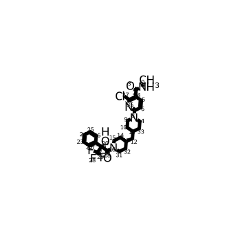 CNC(=O)c1ccc(N2CCC(CC3CCN(C(=O)[C@](O)(c4ccccc4)C(F)(F)F)CC3)CC2)nc1Cl